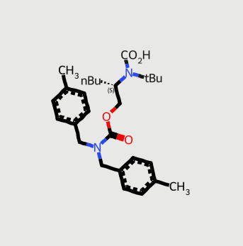 CCCC[C@@H](COC(=O)N(Cc1ccc(C)cc1)Cc1ccc(C)cc1)N(C(=O)O)C(C)(C)C